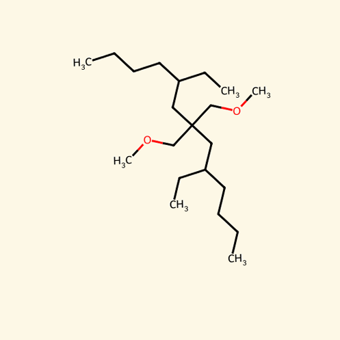 CCCCC(CC)CC(COC)(COC)CC(CC)CCCC